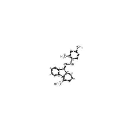 Cc1ccc(N/N=C2/c3ccccc3-c3c(C(=O)O)cccc32)c(C)c1